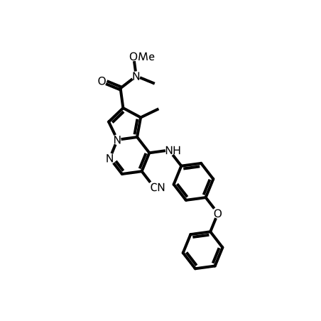 CON(C)C(=O)c1cn2ncc(C#N)c(Nc3ccc(Oc4ccccc4)cc3)c2c1C